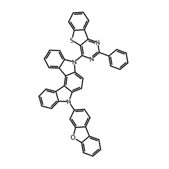 c1ccc(-c2nc(-n3c4ccccc4c4c5c6ccccc6n(-c6ccc7c(c6)oc6ccccc67)c5ccc43)c3sc4ccccc4c3n2)cc1